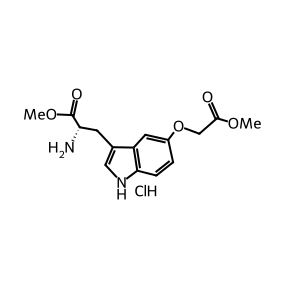 COC(=O)COc1ccc2[nH]cc(C[C@H](N)C(=O)OC)c2c1.Cl